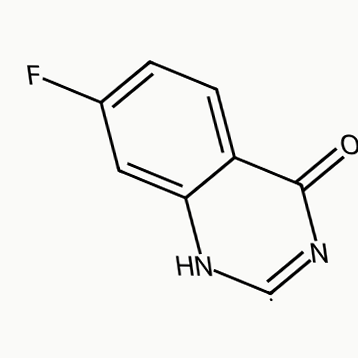 O=c1n[c][nH]c2cc(F)ccc12